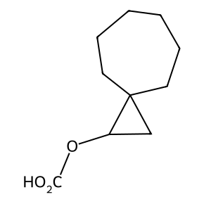 O=C(O)OC1CC12CCCCCC2